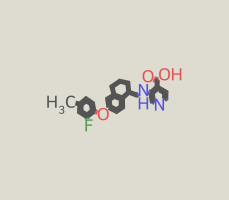 Cc1ccc(Oc2ccc3c(c2)CCCC3CNc2cnccc2C(=O)O)c(F)c1